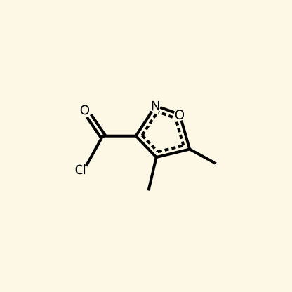 Cc1onc(C(=O)Cl)c1C